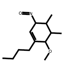 CCCCC1=CC(N=O)C(C)C(C)C1OC